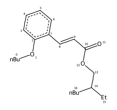 CCCCOc1ccccc1C=CC(=O)OCC(CC)CCCC